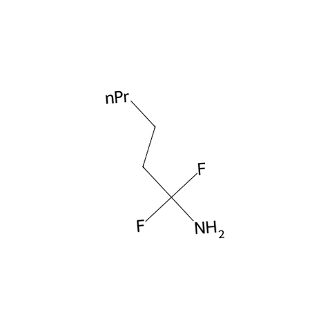 CCCCCC(N)(F)F